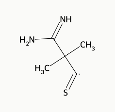 CC(C)([C]=S)C(=N)N